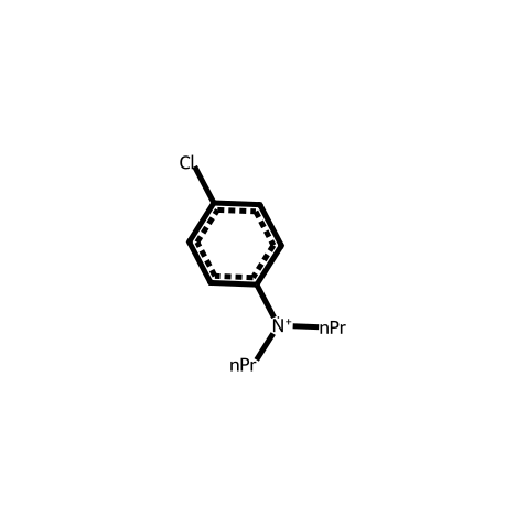 CCC[N+](CCC)c1ccc(Cl)cc1